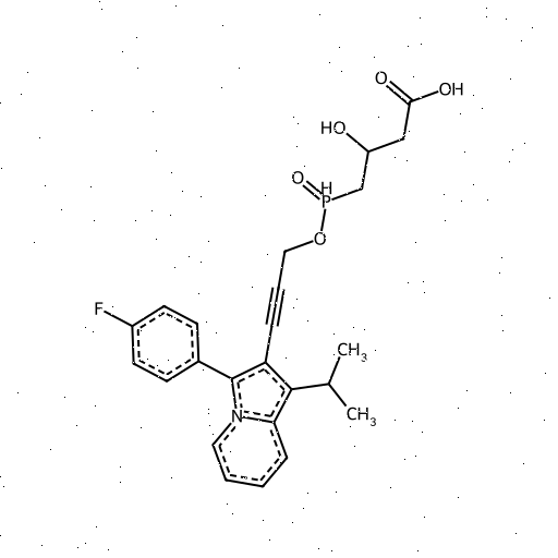 CC(C)c1c(C#CCO[PH](=O)CC(O)CC(=O)O)c(-c2ccc(F)cc2)n2ccccc12